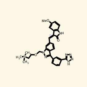 COc1ccc2c(c1)/C(=C/c1ccc3c(-c4cccc(-c5nnn[nH]5)c4)nn(COCC[Si](C)(C)C)c3c1)C(=O)N2